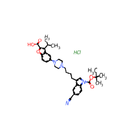 CC(C)c1c(C(=O)O)oc2ccc(N3CCN(CCCCc4cn(C(=O)OC(C)(C)C)c5ccc(C#N)cc45)CC3)cc12.Cl